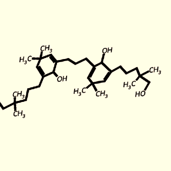 CC1(C)C=C(CCCC2=CC(C)(C)C=C(CCCC(C)(C)CO)C2O)C(O)C(CCCC(C)(C)CO)=C1